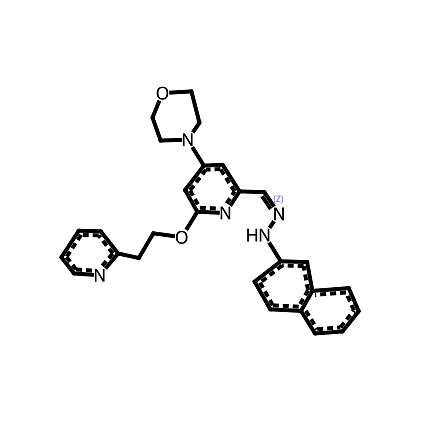 C(=N/Nc1ccc2ccccc2c1)/c1cc(N2CCOCC2)cc(OCCc2ccccn2)n1